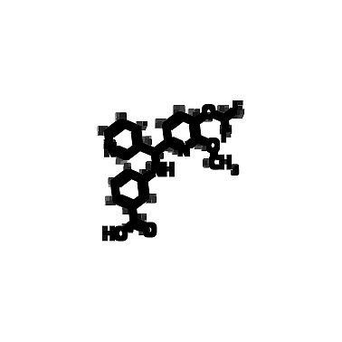 COc1nc(C(Nc2cccc(C(=O)O)c2)c2cccnc2)ccc1OC(F)F